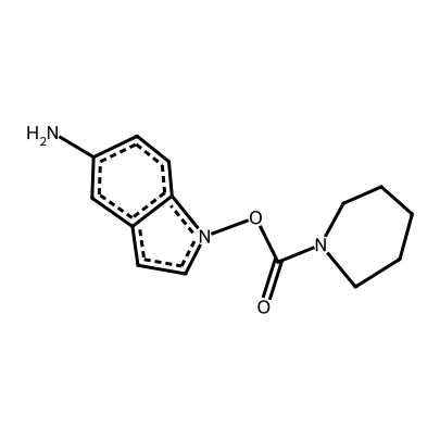 Nc1ccc2c(ccn2OC(=O)N2CCCCC2)c1